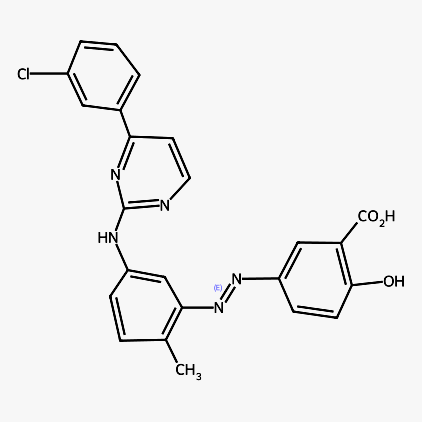 Cc1ccc(Nc2nccc(-c3cccc(Cl)c3)n2)cc1/N=N/c1ccc(O)c(C(=O)O)c1